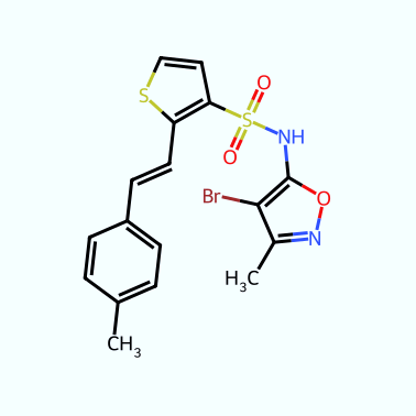 Cc1ccc(/C=C/c2sccc2S(=O)(=O)Nc2onc(C)c2Br)cc1